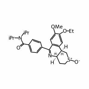 CCOc1cc2c(cc1OC)C(c1ccc(C(=O)N(C(C)C)C(C)C)cc1)=N[C@@H]1CC[S+]([O-])C[C@H]21